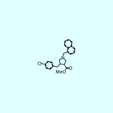 COC(=O)C1CN(Cc2cccc3ccccc23)CC1Cc1ccc(Cl)cc1